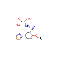 COc1ccc(-c2cscn2)cc1C#N.NC(C=O)C(=O)O